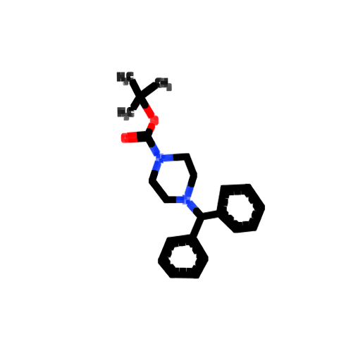 CC(C)(C)OC(=O)N1CCN(C(c2ccccc2)c2ccccc2)CC1